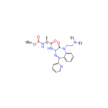 CCN(CC)CCN1C(=O)C(NC(=O)[C@H](C)NC(=O)OC(C)(C)C)N=C(c2ccccn2)c2ccccc21